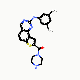 Cc1cc(C)cc(Nc2ncc3ccc4sc(C(=O)N5CCNCC5)cc4c3n2)c1